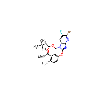 COC(=O)c1cc(Oc2nc3nc(Br)c(F)cc3n2COCC[Si](C)(C)C)ccc1C